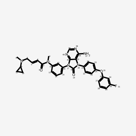 CN(C(=O)C=CCN(C)C1CC1)c1cccc(-n2c(=O)n(-c3ccc(Oc4cccc(F)c4)cc3)c3c(N)ncnc32)c1